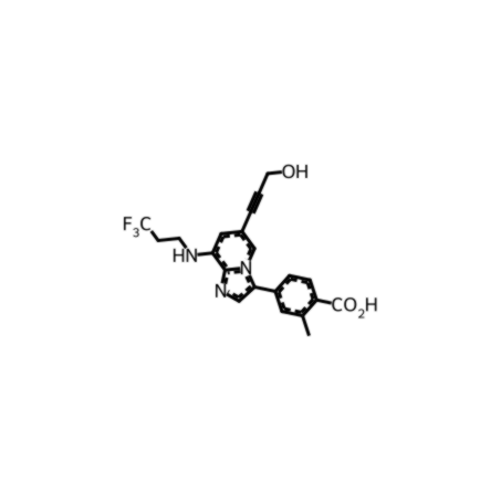 Cc1cc(-c2cnc3c(NCCC(F)(F)F)cc(C#CCO)cn23)ccc1C(=O)O